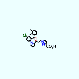 Cc1cccc([C@H]2O[C@H](CCn3ccc(C(=O)O)n3)c3cccn3-c3ccc(Cl)cc32)c1C